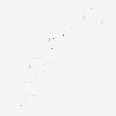 CCN(CC)CCNC(=S)Nc1ccc2cc(N3CCN(CC)CC3)nc(C)c2c1